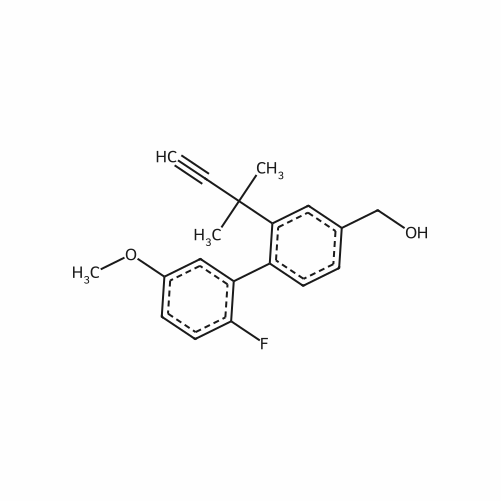 C#CC(C)(C)c1cc(CO)ccc1-c1cc(OC)ccc1F